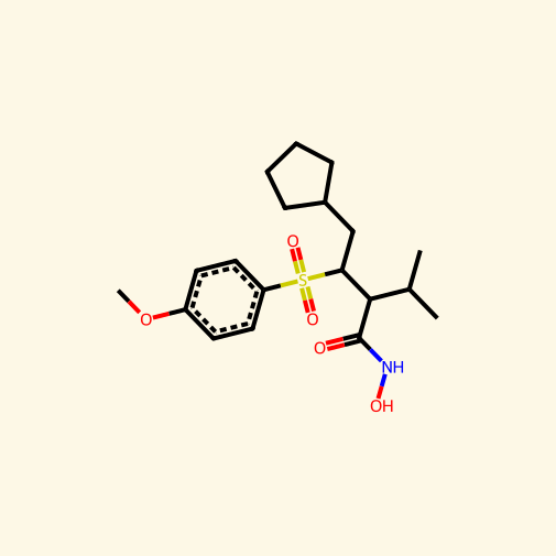 COc1ccc(S(=O)(=O)C(CC2CCCC2)C(C(=O)NO)C(C)C)cc1